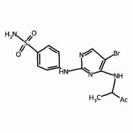 CC(=O)C(C)Nc1nc(Nc2ccc(S(N)(=O)=O)cc2)ncc1Br